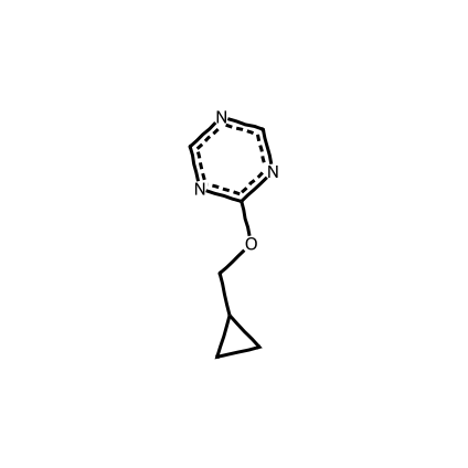 c1ncnc(OCC2CC2)n1